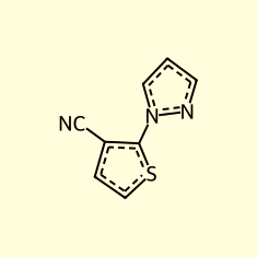 N#Cc1ccsc1-n1cccn1